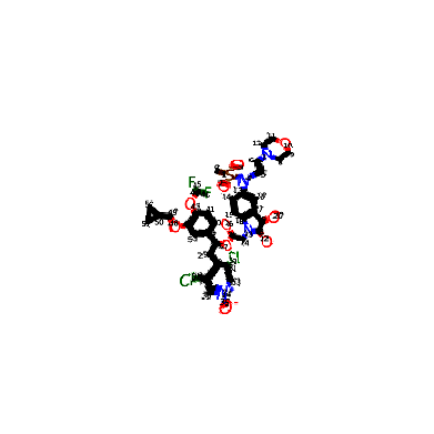 CS(=O)(=O)N(CCN1CCOCC1)c1ccc2c(c1)C(=O)C(=O)N2CC(=O)OC(Cc1c(Cl)c[n+]([O-])cc1Cl)c1ccc(OC(F)F)c(OCC2CC2)c1